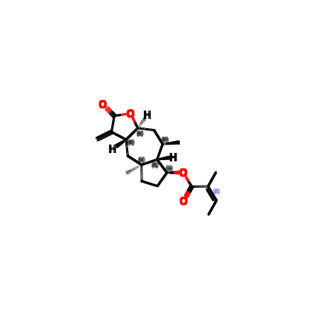 C=C1C(=O)O[C@H]2C[C@@H](C)[C@@H]3[C@@H](OC(=O)/C(C)=C\C)CC[C@@]3(C)C[C@H]12